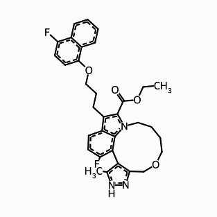 CCOC(=O)c1c(CCCOc2ccc(F)c3ccccc23)c2ccc(F)c3c2n1CCCCOCc1n[nH]c(C)c1-3